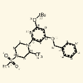 CCS(=O)(=O)N1CCN(c2cc(OCc3ccccc3)cc(OC(C)(C)C)n2)C(C(F)(F)F)C1